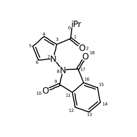 CC(C)C(=O)c1cccn1N1C(=O)c2ccccc2C1=O